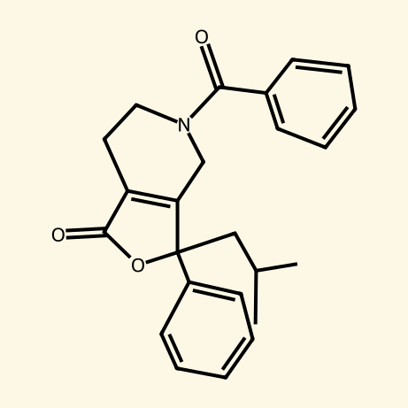 CC(C)CC1(c2ccccc2)OC(=O)C2=C1CN(C(=O)c1ccccc1)CC2